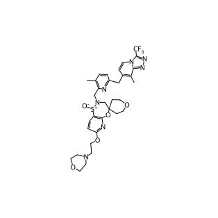 Cc1ccc(Cc2ccn3c(C(F)(F)F)nnc3c2C)nc1CN1CC2(CCOCC2)Oc2nc(OCCN3CCOCC3)ccc2[S+]1[O-]